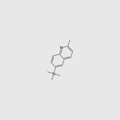 Cc1ccc2cc([Si](C)(C)C)ccc2n1